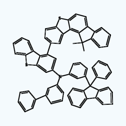 CC1(C)c2ccccc2-c2ccc3sc4ccc(-c5cc(N(c6cccc(-c7ccccc7)c6)c6cccc(C7(c8ccccc8)c8ccccc8-c8ccccc87)c6)cc6sc7ccccc7c56)cc4c3c21